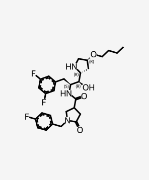 CCCCO[C@H]1CN[C@@H]([C@@H](O)[C@H](Cc2cc(F)cc(F)c2)NC(=O)C2CC(=O)N(Cc3ccc(F)cc3)C2)C1